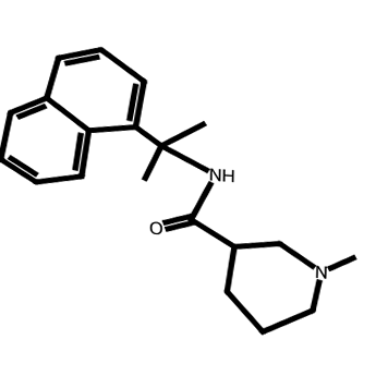 CN1CCCC(C(=O)NC(C)(C)c2cccc3ccccc23)C1